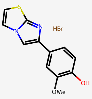 Br.COc1cc(-c2cn3ccsc3n2)ccc1O